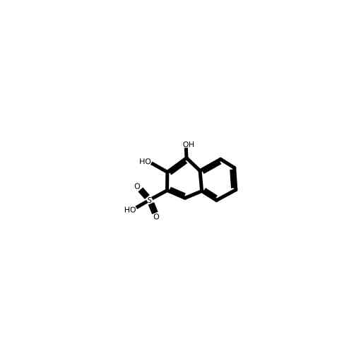 O=S(=O)(O)c1cc2ccccc2c(O)c1O